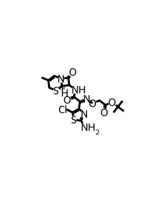 CC1=CN2C(=O)C(NC(=O)C(=NOCC(=O)OC(C)(C)C)c3nc(N)sc3Cl)[C@@H]2SC1